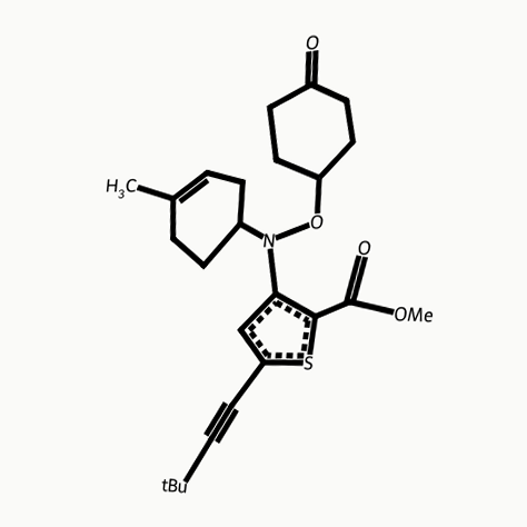 COC(=O)c1sc(C#CC(C)(C)C)cc1N(OC1CCC(=O)CC1)C1CC=C(C)CC1